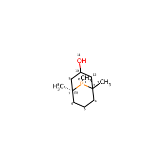 CP1C2(C)CCC[C@@]1(C)CC(O)C2